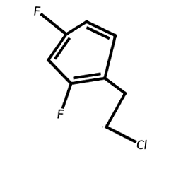 Fc1ccc(C[CH]Cl)c(F)c1